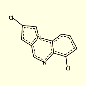 Clc1cc2cnc3c(Cl)cccc3n2c1